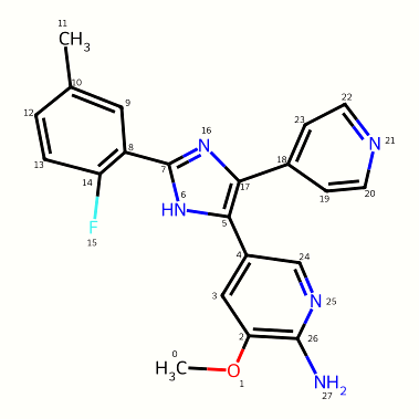 COc1cc(-c2[nH]c(-c3cc(C)ccc3F)nc2-c2ccncc2)cnc1N